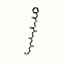 NCCNCCNCCNC(=O)OCOC(=O)Cc1ccccc1